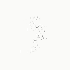 COc1cc(OC)c(NC(=O)Cn2c(=O)n(CC(=O)Nc3ccc(OCCF)cc3)c(=O)c3ccccc32)cc1Cl